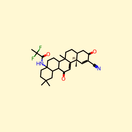 CC1(C)CCC2(NC(=O)C(C)(F)F)CCC3C(C(=O)C=C4C3(C)CCC3CC(=O)C(C#N)=C[C@]43C)C2C1